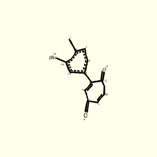 Cc1ccc(C2=CC(=O)C=CC2=O)cc1C(C)(C)C